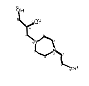 OCCN1CCN(CC(O)CO)CC1